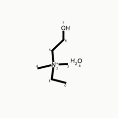 CC[N+](C)(C)CCO.O